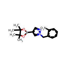 CC1(C)OB(c2cnn(Cc3ccccc3[N+](=O)[O-])c2)OC1(C)C